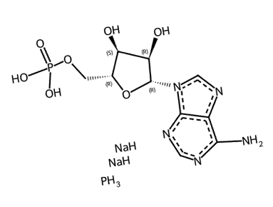 Nc1ncnc2c1ncn2[C@@H]1O[C@H](COP(=O)(O)O)[C@@H](O)[C@H]1O.P.[NaH].[NaH]